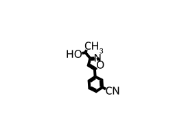 CC(O)c1cc(-c2cccc(C#N)c2)on1